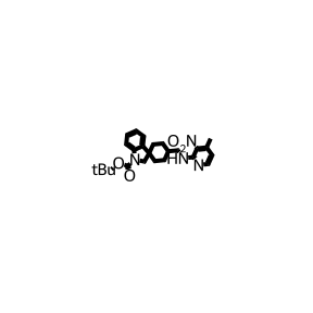 Cc1ccnc(NCC2CCC3(CC2)CN(C(=O)OC(C)(C)C)c2ccccc23)c1[N+](=O)[O-]